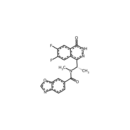 C[C@@H](c1n[nH]c(=O)c2cc(F)c(F)cc12)N(C)C(=O)c1ccc2ncoc2c1